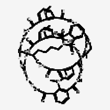 COc1c2cccc1C(=O)NCCN1CCNC(=O)c3cccc(c3OC)C(=O)NCCN(CCNC2=O)CCN2CCNC(=O)c3cccc(c3OC)C(=O)NCCN(CC1)C(CCCCN1C(=O)c3ccccc3C1=O)CNC(=O)c1cccc(c1OC)C(=O)NCC2